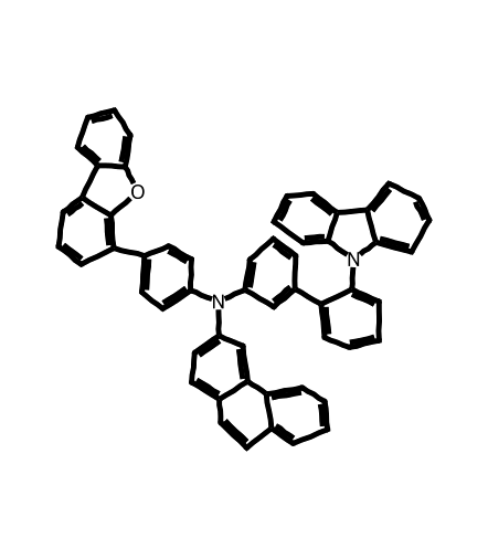 c1cc(-c2ccccc2-n2c3ccccc3c3ccccc32)cc(N(c2ccc(-c3cccc4c3oc3ccccc34)cc2)c2ccc3ccc4ccccc4c3c2)c1